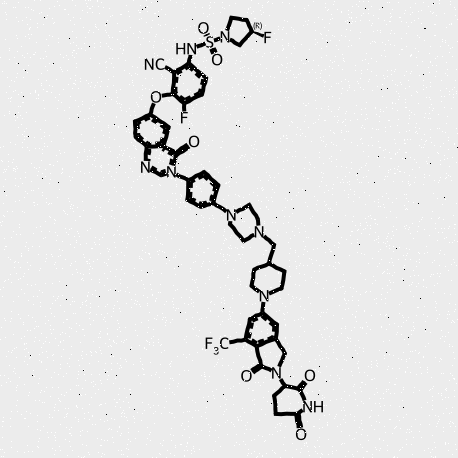 N#Cc1c(NS(=O)(=O)N2CC[C@@H](F)C2)ccc(F)c1Oc1ccc2ncn(-c3ccc(N4CCN(CC5CCN(c6cc7c(c(C(F)(F)F)c6)C(=O)N(C6CCC(=O)NC6=O)C7)CC5)CC4)cc3)c(=O)c2c1